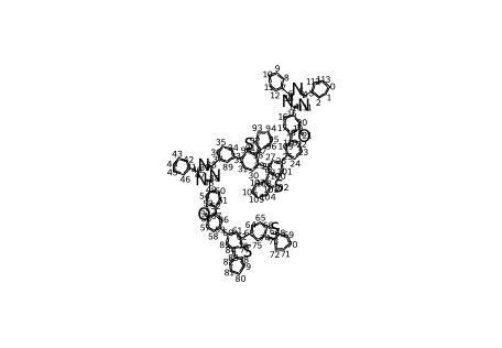 c1ccc(-c2nc(-c3ccccc3)nc(-c3ccc4c(c3)oc3ccc(-c5cc(-c6ccc(-c7cccc(-c8nc(-c9ccccc9)nc(-c9ccc%10c(c9)oc9ccc(-c%11cc(-c%12ccc%13sc%14ccccc%14c%13c%12)c%12sc%13ccccc%13c%12c%11)cc9%10)n8)c7)c7sc8ccccc8c67)c6c(c5)sc5ccccc56)cc34)n2)cc1